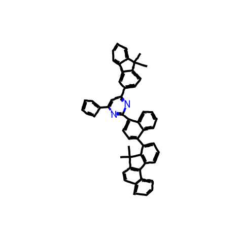 CC1(C)c2ccccc2-c2cc(-c3cc(-c4ccccc4)nc(-c4ccc(-c5cccc6c5C(C)(C)c5ccc7ccccc7c5-6)c5ccccc45)n3)ccc21